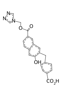 O=C(O)c1ccc(Cc2cc3cc(C(=O)OCn4cnnc4)ccc3cc2O)cc1